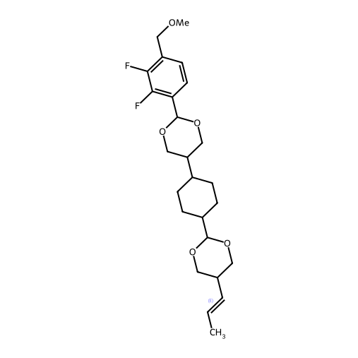 C/C=C/C1COC(C2CCC(C3COC(c4ccc(COC)c(F)c4F)OC3)CC2)OC1